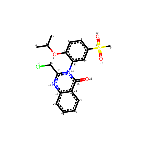 CC(C)Oc1ccc(S(C)(=O)=O)cc1-n1c(CCl)nc2ccccc2c1=O